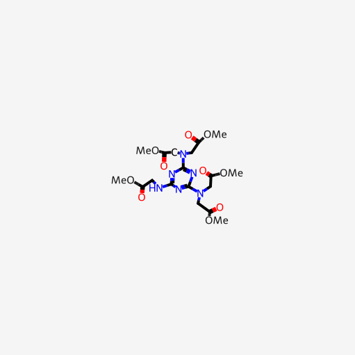 COC(=O)CNc1nc(N(CC(=O)OC)CC(=O)OC)nc(N(CC(=O)OC)CC(=O)OC)n1